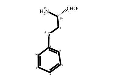 N[C@H]([C]=O)CSc1ccccc1